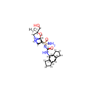 C[C@@]1(CO)Cn2ncc([S@@](N)(=O)=NC(=O)Nc3c4c(cc5c3CCC5)CCC4)c2O1